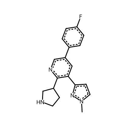 Cn1ccc(-c2cc(-c3ccc(F)cc3)cnc2C2CCNC2)n1